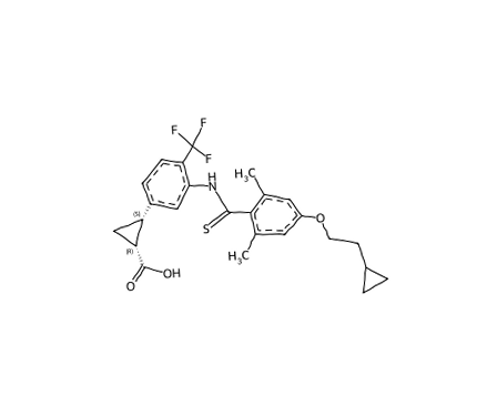 Cc1cc(OCCC2CC2)cc(C)c1C(=S)Nc1cc([C@H]2C[C@H]2C(=O)O)ccc1C(F)(F)F